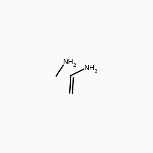 C=CN.CN